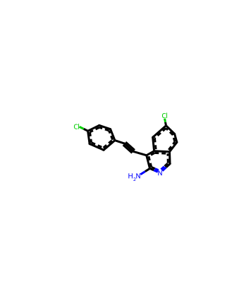 Nc1ncc2ccc(Cl)cc2c1C#Cc1ccc(Cl)cc1